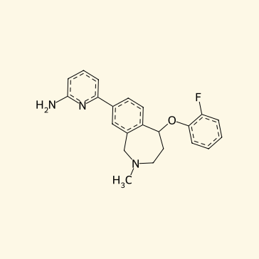 CN1CCC(Oc2ccccc2F)c2ccc(-c3cccc(N)n3)cc2C1